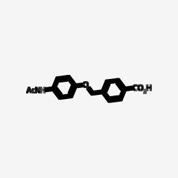 CC(=O)Nc1ccc(OCc2ccc(C(=O)O)cc2)cc1